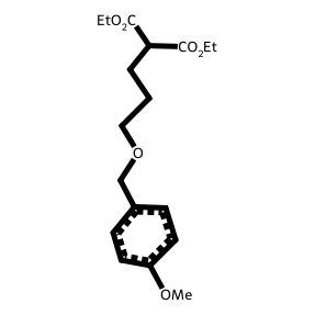 CCOC(=O)C(CCCOCc1ccc(OC)cc1)C(=O)OCC